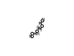 O=C(c1ccc(Nc2cccc3ncccc23)cc1)N(I)c1cccc(N(I)c2ccncc2)c1